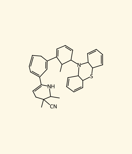 CC1C(C2=CC(C3=CCC(C)(C#N)C(C)N3)=CC=CC2)=CC=CC1N1C2C=CC=CC2SC2C=CC=CC21